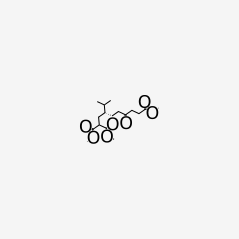 COC(=O)CCC(=O)CC[C@H](CC(C(=O)OC)C(=O)OC)C(C)C